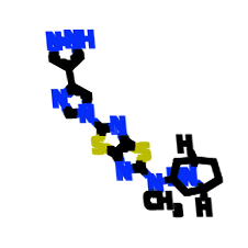 CN(c1nc2sc(-n3cnc(-c4cn[nH]c4)c3)nc2s1)C1C[C@H]2CC[C@@H](C1)N2